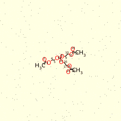 CC(=O)OCCOC(OCCOC(C)=O)OCCOC(C)=O